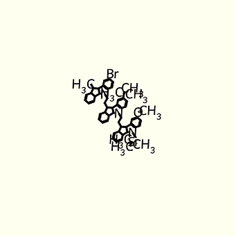 COc1ccc2c(c1)C1C(CCN3c4ccc(C(C)(C)C)cc4C4C(CCN5c6ccc(Br)cc6C6C(C)C7C=CC=CC7C65)C5C=CC=CC5C43)C3C=CC=CC3C1N2C[Si](C)(C)C